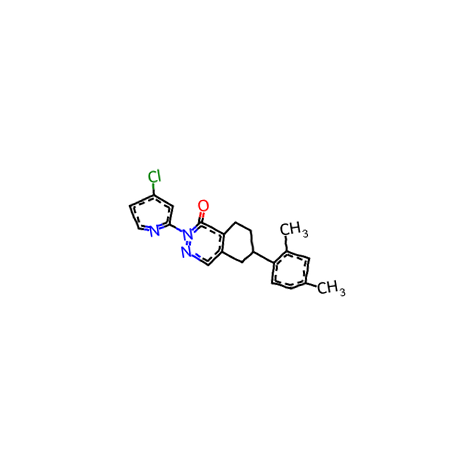 Cc1ccc(C2CCc3c(cnn(-c4cc(Cl)ccn4)c3=O)C2)c(C)c1